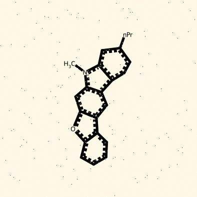 CCCc1ccc2c3cc4c(cc3n(C)c2c1)oc1ccccc14